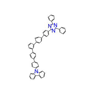 c1ccc(-c2nc(-c3ccccc3)nc(-c3ccc(-c4ccc(-c5cccc(-c6ccc(-c7ccc(-n8c9ccccc9c9ccccc98)cc7)cc6)c5)cc4)cc3)n2)cc1